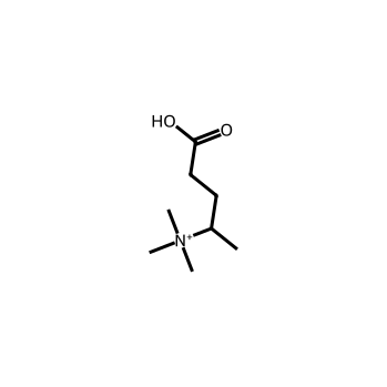 CC(CCC(=O)O)[N+](C)(C)C